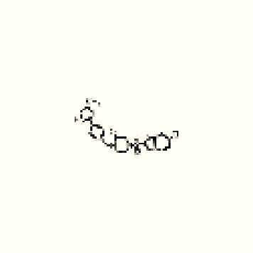 CC1CNC(c2ccc(CN3CCN(S(=O)(=O)c4cc5ccc(Cl)cc5s4)CC3=O)cc2)=N1